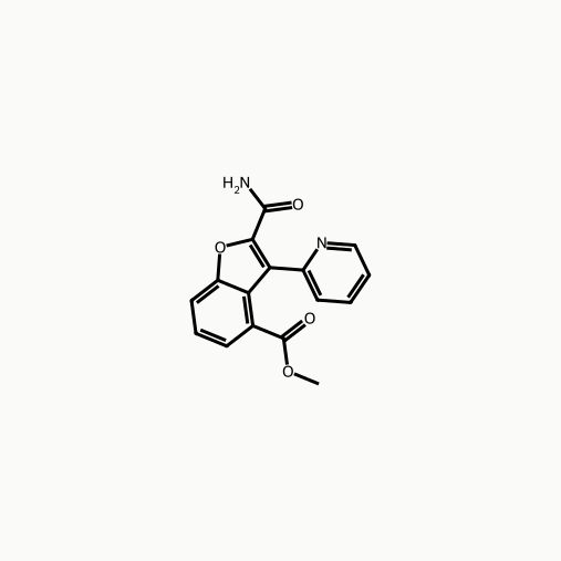 COC(=O)c1cccc2oc(C(N)=O)c(-c3ccccn3)c12